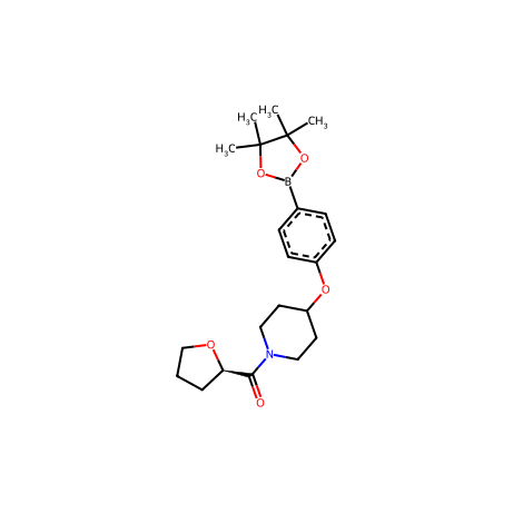 CC1(C)OB(c2ccc(OC3CCN(C(=O)[C@H]4CCCO4)CC3)cc2)OC1(C)C